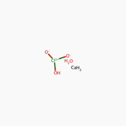 O.[CaH2].[O-][Cl+2]([O-])O